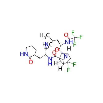 CC(C)C[C@@H](NC(=O)C(F)(F)F)C(=O)N1[C@H]2CC[C@@H]([C@H]1C(=O)N[C@@H](C#N)C[C@@H]1CCCNC1=O)C(F)(F)C2